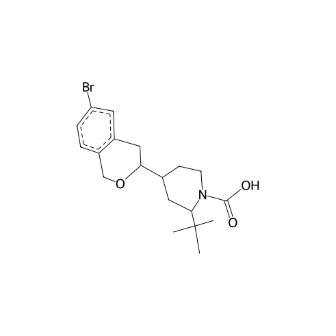 CC(C)(C)C1CC(C2Cc3cc(Br)ccc3CO2)CCN1C(=O)O